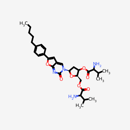 CCCCCc1ccc(-c2cc3cn([C@H]4CC(OC(=O)C(N)C(C)C)[C@@H](COC(=O)C(N)C(C)C)O4)c(=O)nc3o2)cc1